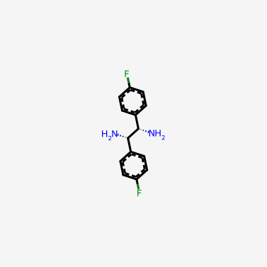 N[C@@H](c1ccc(F)cc1)[C@@H](N)c1ccc(F)cc1